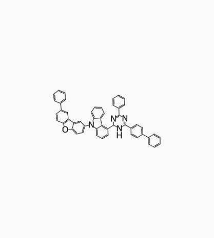 c1ccc(C2=NC(c3cccc4c3c3ccccc3n4-c3ccc4oc5ccc(-c6ccccc6)cc5c4c3)NC(c3ccc(-c4ccccc4)cc3)=N2)cc1